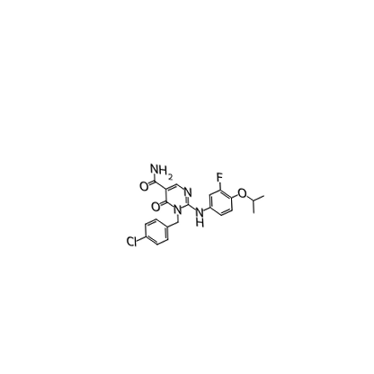 CC(C)Oc1ccc(Nc2ncc(C(N)=O)c(=O)n2Cc2ccc(Cl)cc2)cc1F